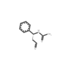 CC(=O)N[C@H](CC=O)c1ccccc1